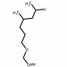 [Li][CH](C)CC(C)CCCOCOC